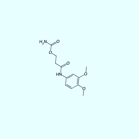 COc1ccc(NC(=O)CCOC(N)=O)cc1OC